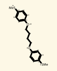 CSc1ccc(OCCCCOc2ccc(SC)cc2)cc1